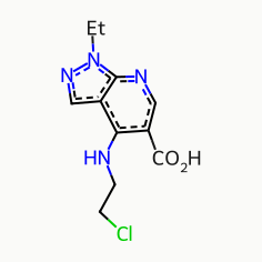 CCn1ncc2c(NCCCl)c(C(=O)O)cnc21